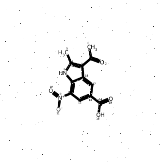 CC(=O)c1c(C)[nH]c2c([N+](=O)[O-])cc(C(=O)O)cc12